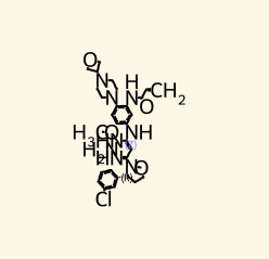 C=CC(=O)Nc1cc(N/C(=C/C(=N)N2OCC[C@@H]2c2cccc(Cl)c2)NN)c(OC)cc1N1CCN(C2COC2)CC1